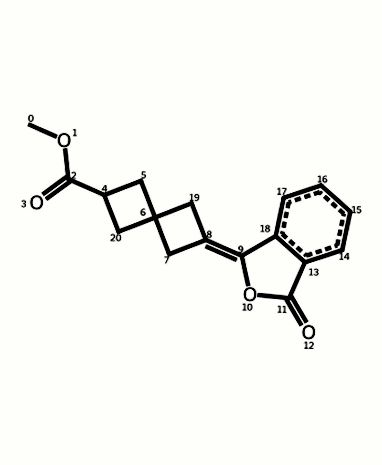 COC(=O)C1CC2(CC(=C3OC(=O)c4ccccc43)C2)C1